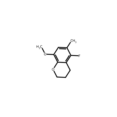 COc1cc(C)c(F)c2c1OCCC2